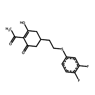 CC(=O)C1=C(O)CC(CCSc2ccc(F)c(F)c2)CC1=O